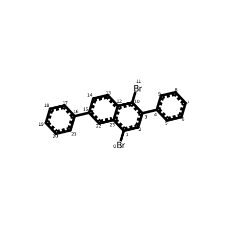 Brc1cc(-c2ccccc2)c(Br)c2ccc(-c3ccccc3)cc12